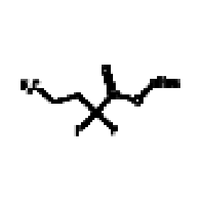 CCCCCC[O][Sn](=[O])[C](F)(F)CCC(F)(F)F